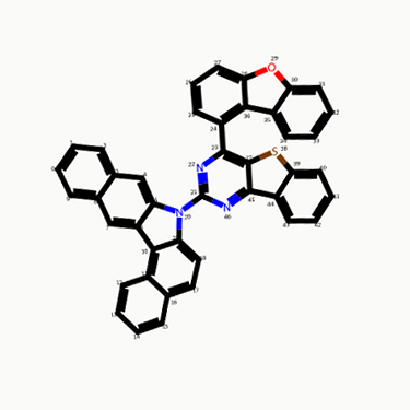 c1ccc2cc3c(cc2c1)c1c2ccccc2ccc1n3-c1nc(-c2cccc3oc4ccccc4c23)c2sc3ccccc3c2n1